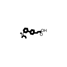 CCC(C)N(C)c1cccc(-c2ccc(/C=C/C(=O)O)cc2)c1